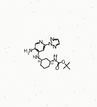 CC(C)(C)OC(=O)N[C@H]1CCC[C@@H](Nc2cc(-n3nccn3)ncc2N)C1